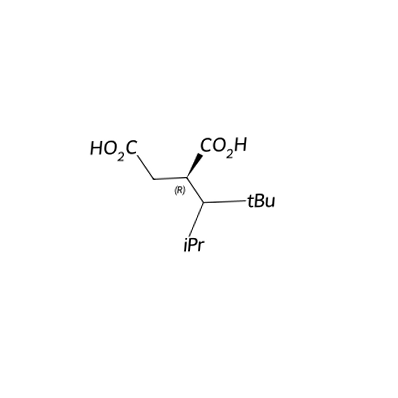 CC(C)C([C@@H](CC(=O)O)C(=O)O)C(C)(C)C